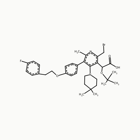 Cc1nc(CBr)c(C(OC(C)(C)C)C(=O)O)c(N2CCC(C)(C)CC2)c1-c1ccc(OCCc2ccc(F)cc2)cc1